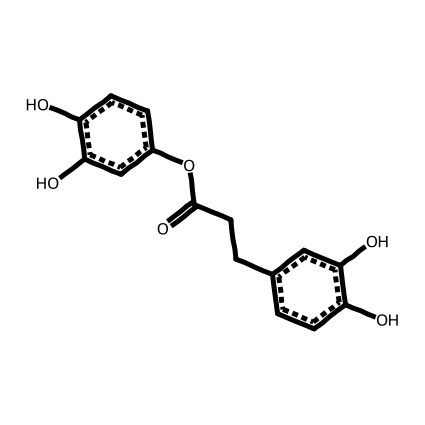 O=C(CCc1ccc(O)c(O)c1)Oc1ccc(O)c(O)c1